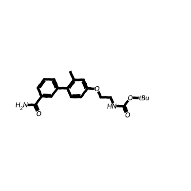 Cc1cc(OCCNC(=O)OC(C)(C)C)ccc1-c1cccc(C(N)=O)c1